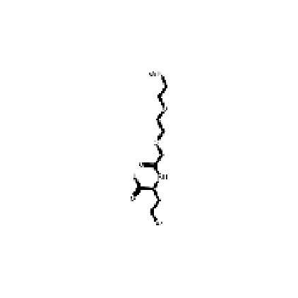 CNCCOCCOCC(=O)NC(CCC(C)=O)C(=O)I